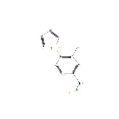 Cc1cc(CCl)ccc1[SH]1C=CC=C1